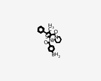 Bc1ccc(C(=O)Nc2sc(-c3ccccc3)c(C)c2C(=O)N2CCCCC2)cc1